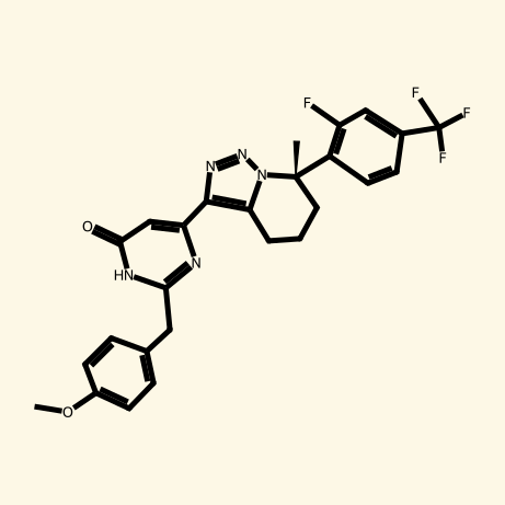 COc1ccc(Cc2nc(-c3nnn4c3CCC[C@@]4(C)c3ccc(C(F)(F)F)cc3F)cc(=O)[nH]2)cc1